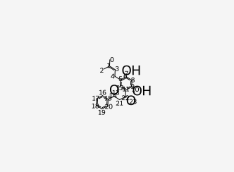 CC(C)=CCc1c(O)cc(O)c2c1OC(c1ccccc1)CC2=O